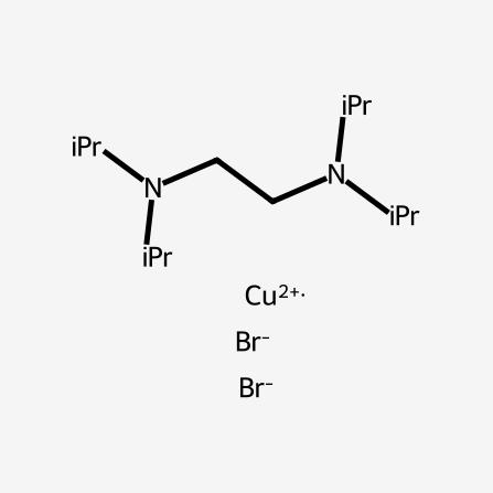 CC(C)N(CCN(C(C)C)C(C)C)C(C)C.[Br-].[Br-].[Cu+2]